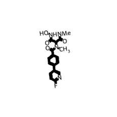 CNC(=O)C(C(=O)NO)N(C)C(=O)c1ccc(-c2ccc(F)nc2)cc1